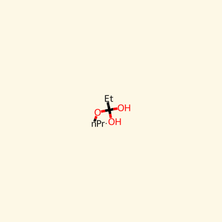 CC[CH]OC(O)(O)CC